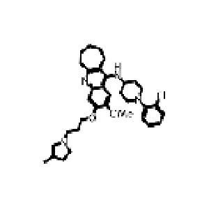 COc1cc2c(NC3CCN(c4ccccc4Cl)CC3)c3c(nc2cc1OCCCN1CCC(C)C1)CCCCC3